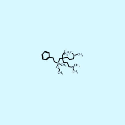 CCO[Si](C)(CCc1ccccc1)CC(CC)(CCCN(C)C)CCCN(C)C